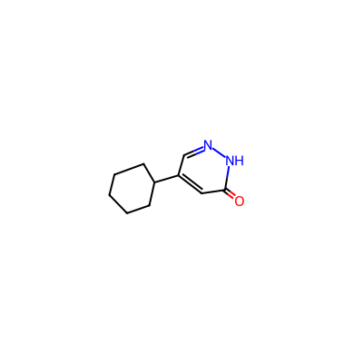 O=c1cc(C2CCCCC2)cn[nH]1